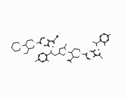 Cc1nn(C(C)c2ccc(Cl)cc2Cl)c2nc(N3CCC(N4CC(CC(c5ccc(Cl)cc5Cl)n5nc(C#N)c6ncc(N7CCC(N8CCCCC8)C(CO)C7)nc65)CC4C)C(C(=O)O)C3)cnc12